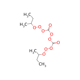 CCC(C)OOOC(=O)OOC(=O)OOOC(C)CC